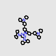 c1ccc(-n2c3ccccc3c3cc(-c4ccc5c(c4)c4cc(-c6ccc7c(c6)c6ccccc6n7-c6ccccc6)ccc4n5-c4nc(-n5c6ccccc6c6ccccc65)cc(-n5c6ccccc6c6ccccc65)n4)ccc32)cc1